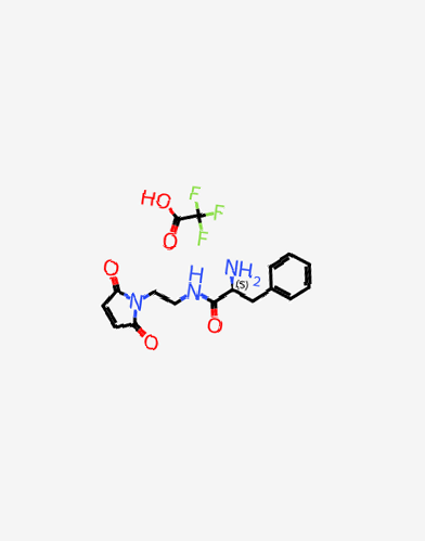 N[C@@H](Cc1ccccc1)C(=O)NCCN1C(=O)C=CC1=O.O=C(O)C(F)(F)F